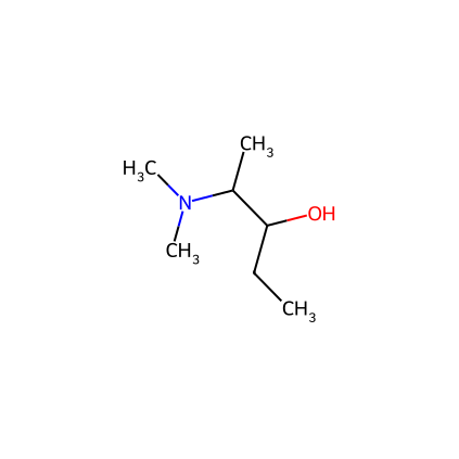 CCC(O)C(C)N(C)C